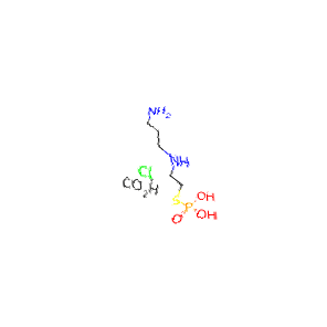 NCCCNCCSP(=O)(O)O.O=C(O)Cl